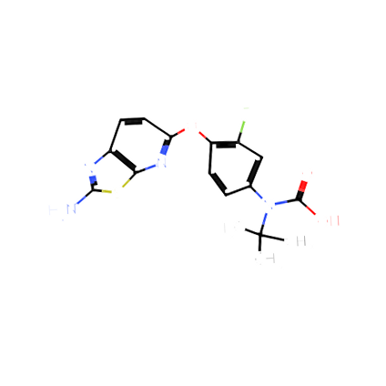 CC(C)(C)N(C(=O)O)c1ccc(Oc2ccc3nc(N)sc3n2)c(F)c1